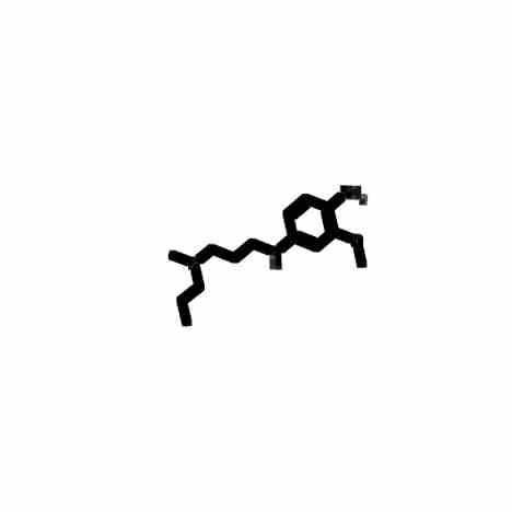 CCCN(C)CCCNc1ccc(N)c(OC)c1